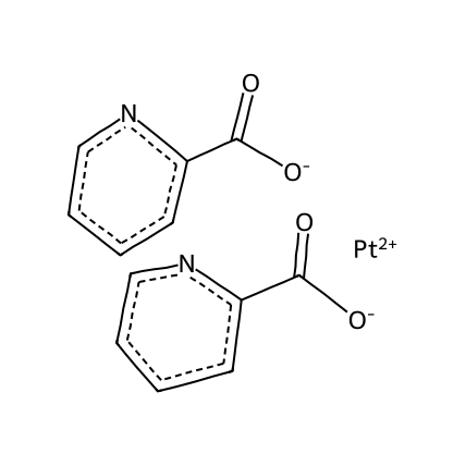 O=C([O-])c1ccccn1.O=C([O-])c1ccccn1.[Pt+2]